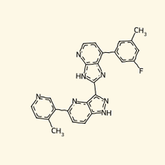 Cc1cc(F)cc(-c2ccnc3[nH]c(-c4n[nH]c5ccc(-c6cnccc6C)nc45)nc23)c1